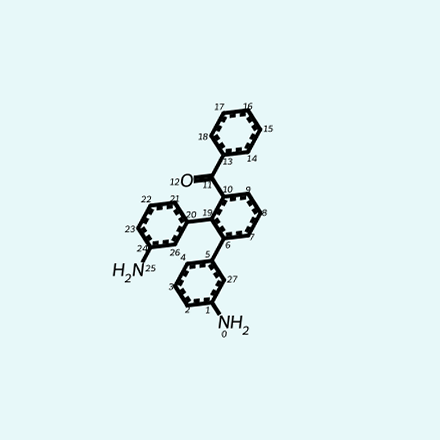 Nc1cccc(-c2cccc(C(=O)c3ccccc3)c2-c2cccc(N)c2)c1